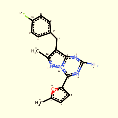 Cc1ccc(-c2nc(N)nc3c(Cc4ccc(F)cc4)c(C)nn23)o1